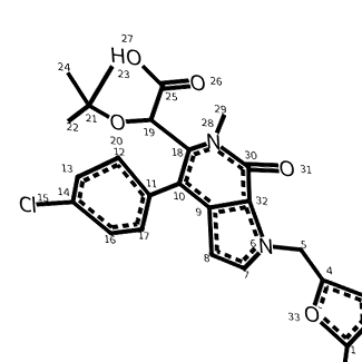 Cc1ccc(Cn2ccc3c(-c4ccc(Cl)cc4)c(C(OC(C)(C)C)C(=O)O)n(C)c(=O)c32)o1